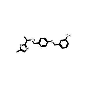 Cc1cnc(C(C)NCc2ccc(OCc3cccc(C#N)c3)cc2)s1